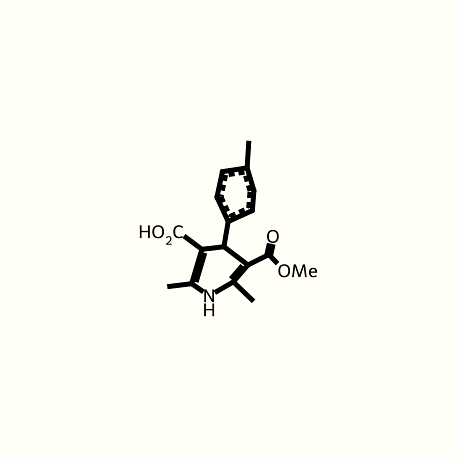 COC(=O)C1=C(C)NC(C)=C(C(=O)O)C1c1ccc(C)cc1